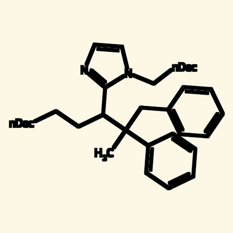 CCCCCCCCCCCCC(c1nccn1CCCCCCCCCCC)C(C)(Cc1ccccc1)c1ccccc1